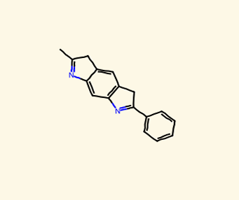 CC1=Nc2cc3c(cc2C1)CC(c1ccccc1)=N3